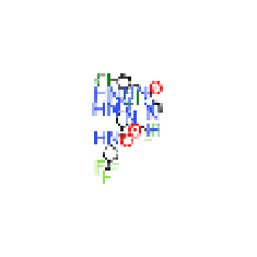 O=C(NCc1ccc(Cl)c(Nc2nc3nc(OCC(F)F)c(C(=O)N[C@H]4CC[C@H](C(F)(F)F)CC4)cc3[nH]2)c1Cl)c1cc[nH]n1